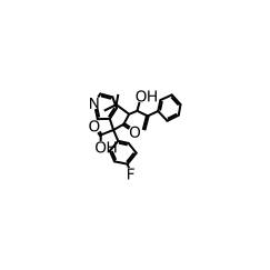 C=C(c1ccccc1)C(O)C(C(=O)C(C(=O)O)(c1ccc(F)cc1)c1cccnc1)C(C)C